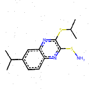 CC(C)Sc1nc2cc(C(C)C)ccc2nc1SN